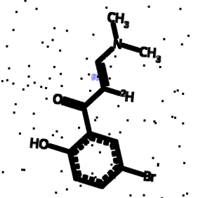 [2H]/C(=C\N(C)C)C(=O)c1cc(Br)ccc1O